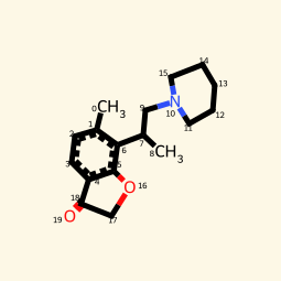 Cc1ccc2c(c1C(C)CN1CCCCC1)OCC2=O